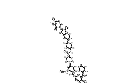 COc1cc(N2CCN(C(=O)CN3CCN(c4ccc5c(c4)CN(C4CCC(=O)NC4=O)C5=O)CC3)CC2)ccc1Nc1ncc(Cl)c(Nc2ccccc2)n1